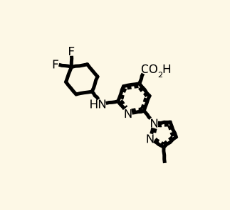 Cc1ccn(-c2cc(C(=O)O)cc(NC3CCC(F)(F)CC3)n2)n1